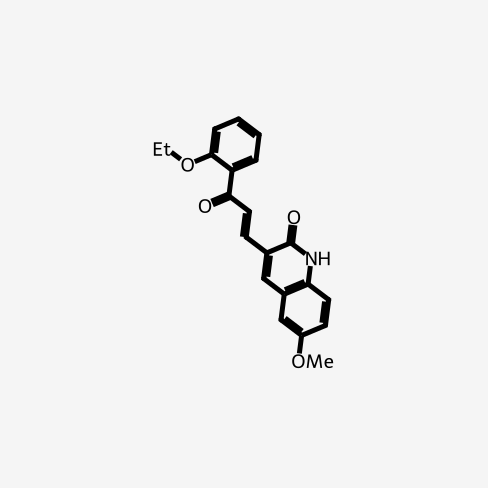 CCOc1ccccc1C(=O)/C=C/c1cc2cc(OC)ccc2[nH]c1=O